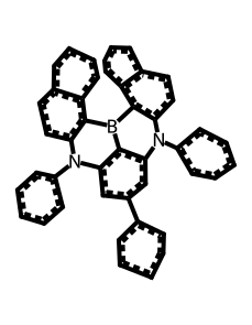 c1ccc(-c2cc3c4c(c2)N(c2ccccc2)c2ccc5ccccc5c2B4c2c(ccc4ccccc24)N3c2ccccc2)cc1